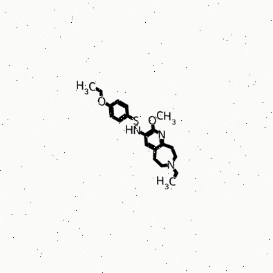 CCOc1ccc(SNc2cc3c(nc2OC)CCN(CC)CC3)cc1